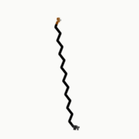 CC(C)CCCCCCCCCCCCCCC[S]